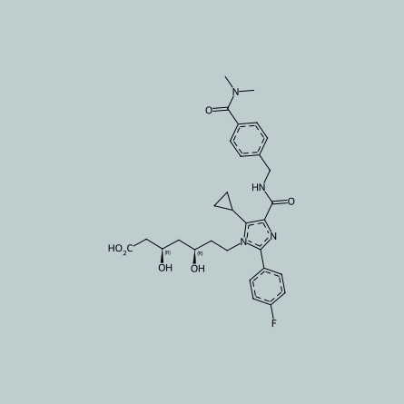 CN(C)C(=O)c1ccc(CNC(=O)c2nc(-c3ccc(F)cc3)n(CC[C@@H](O)C[C@@H](O)CC(=O)O)c2C2CC2)cc1